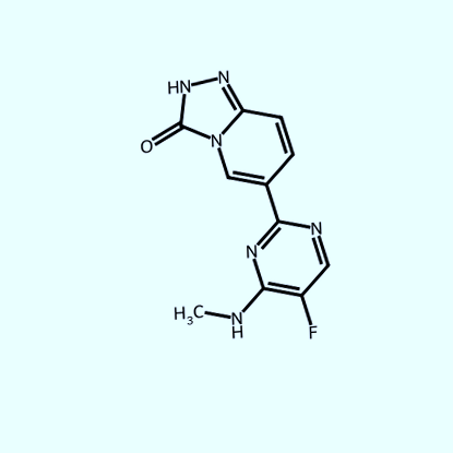 CNc1nc(-c2ccc3n[nH]c(=O)n3c2)ncc1F